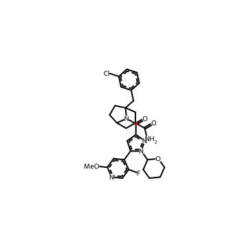 COc1cc(-c2cc(C(=O)N3C4CCC3(Cc3cccc(Cl)c3)CC(C(N)=O)C4)nn2C2CCCCO2)c(F)cn1